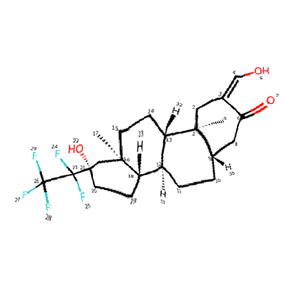 C[C@]12C/C(=C/O)C(=O)C[C@@H]1CC[C@@H]1[C@@H]2CC[C@@]2(C)[C@H]1CC[C@@]2(O)C(F)(F)C(F)(F)F